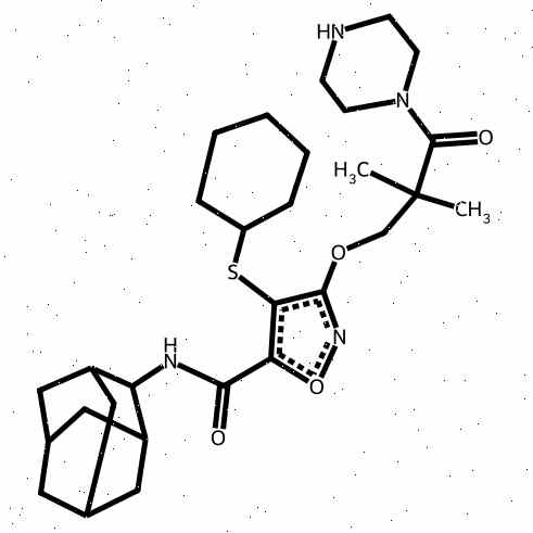 CC(C)(COc1noc(C(=O)NC2C3CC4CC(C3)CC2C4)c1SC1CCCCC1)C(=O)N1CCNCC1